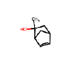 CC1(O)CC2C=CC1C2